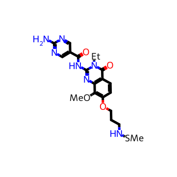 CCn1c(NC(=O)c2cnc(N)nc2)nc2c(OC)c(OCCCNSC)ccc2c1=O